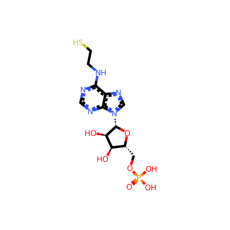 O=P(O)(O)OC[C@H]1O[C@@H](n2cnc3c(NCCS)ncnc32)[C@H](O)[C@@H]1O